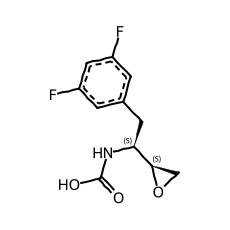 O=C(O)N[C@@H](Cc1cc(F)cc(F)c1)[C@H]1CO1